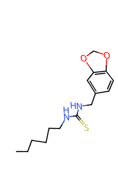 CCCCCCNC(=S)NCc1ccc2c(c1)OCO2